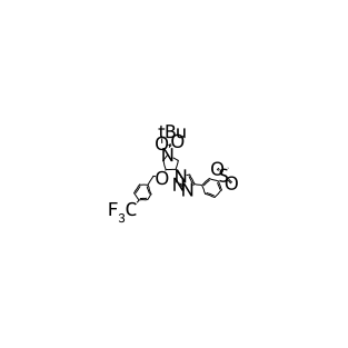 CC(C)(C)OC(=O)N1CC(OCc2ccc(C(F)(F)F)cc2)C(n2cc(-c3cccc(S(C)(=O)=O)c3)nn2)C1